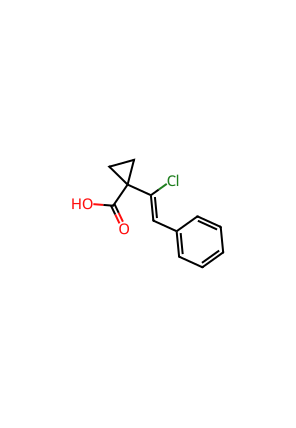 O=C(O)C1(C(Cl)=Cc2ccccc2)CC1